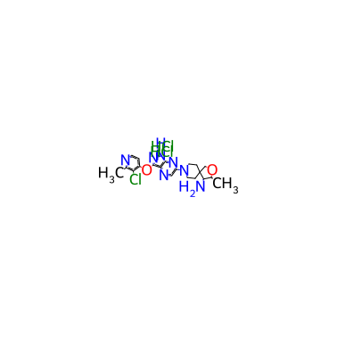 Cc1nccc(Oc2n[nH]c3nc(N4CCC5(CC4)CO[C@@H](C)[C@H]5N)cnc23)c1Cl.Cl.Cl